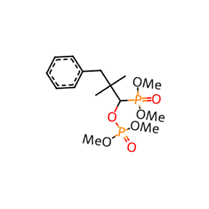 COP(=O)(OC)OC(C(C)(C)Cc1ccccc1)P(=O)(OC)OC